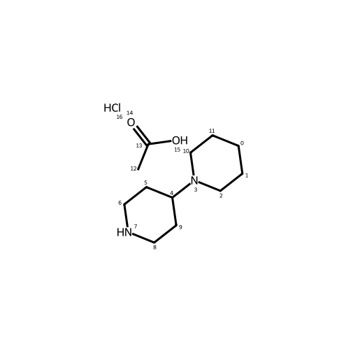 C1CCN(C2CCNCC2)CC1.CC(=O)O.Cl